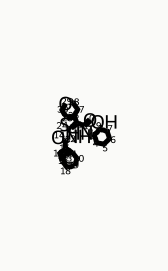 O=C(NC1CCCCC1O)c1c(NC(=O)C23CC4CC(CC2C4)C3)sc2c1CCOC2